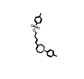 Cc1ccc(N2CCC=C(/C=C/CCOS(=O)(=O)c3ccc(C)cc3)CC2)cc1